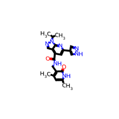 Cc1cc(C)c(CNC(=O)c2cc(-c3cn[nH]c3)nc3c2cnn3C(C)C)c(=O)[nH]1